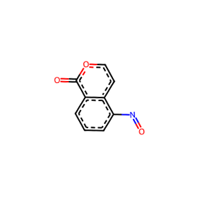 O=Nc1cccc2c(=O)occc12